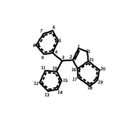 [CH]1C=C(C(c2ccccc2)c2ccccc2)c2ccccc21